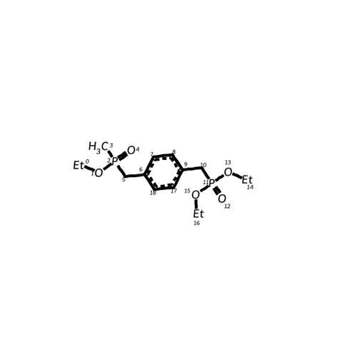 CCOP(C)(=O)Cc1ccc(CP(=O)(OCC)OCC)cc1